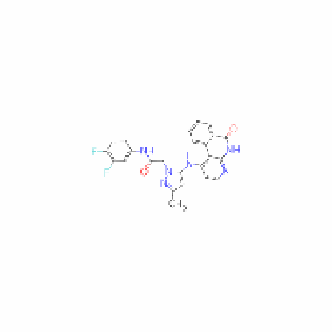 Cc1cc(Nc2ccnc3[nH]c(=O)c4ccccc4c23)n(CC(=O)Nc2ccc(F)c(F)c2)n1